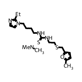 CCc1nccn1CCCCNC(=S)NCCSCc1ccc(C)o1.CNC